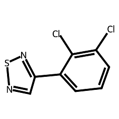 Clc1cccc(-c2cnsn2)c1Cl